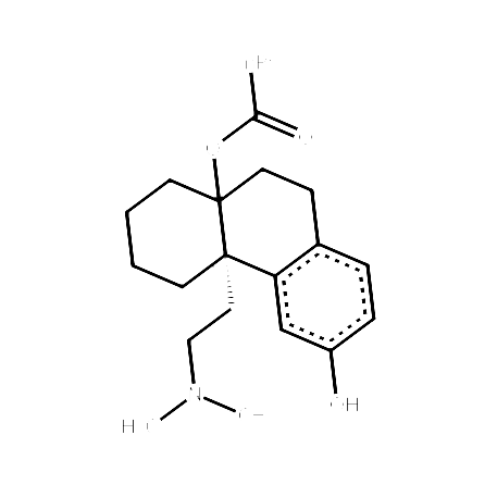 CCCC(=O)OC12CCCC[C@]1(CCN(C)C)c1cc(O)ccc1CC2